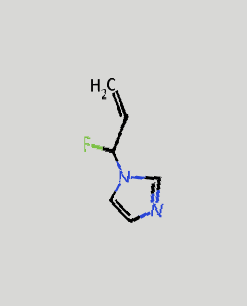 C=CC(F)n1ccnc1